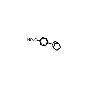 O=C(O)c1ccc(N2CC3CCC2C3)cc1